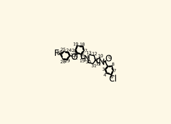 O=C(c1ccc(Cl)cc1)N1CC2(CCN(Cc3ccccc3Oc3ccc(F)cc3)CC2)C1